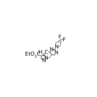 CCOC(=O)c1cnn(Cc2cnc(N3CC4C(C3)C4(F)F)nc2C)c1